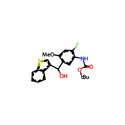 COc1cc(F)c(NC(=O)OC(C)(C)C)cc1C(O)c1csc2ccccc12